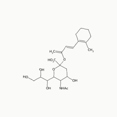 C=C(/C=C/C1=C(C)CCCC1)OC1(C(=O)O)CC(O)C(NC(C)=O)C(C(O)C(O)CO)O1